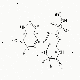 CC(C)NS(=O)(=O)c1cc2c(c(-c3cn(C)c(=O)c4[nH]ccc34)c1)OC(C)(C)C(=O)N2